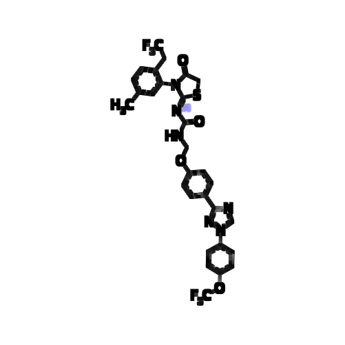 Cc1ccc(CC(F)(F)F)c(N2C(=O)CS/C2=N\C(=O)NCOc2ccc(-c3ncn(-c4ccc(OC(F)(F)F)cc4)n3)cc2)c1